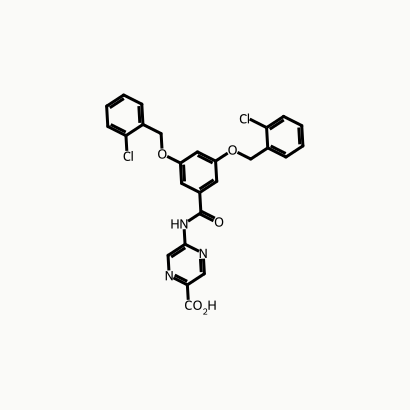 O=C(Nc1cnc(C(=O)O)cn1)c1cc(OCc2ccccc2Cl)cc(OCc2ccccc2Cl)c1